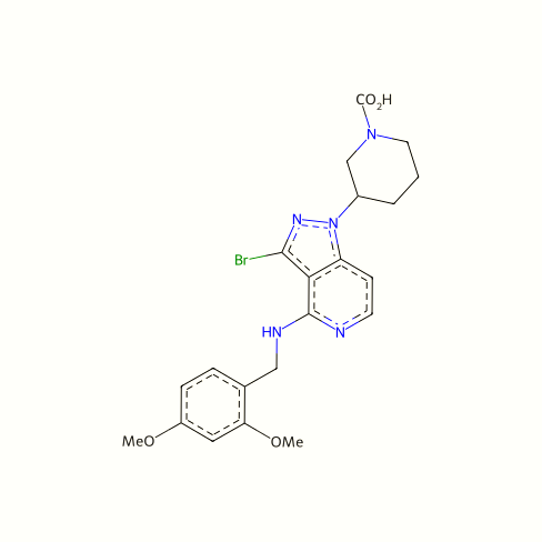 COc1ccc(CNc2nccc3c2c(Br)nn3C2CCCN(C(=O)O)C2)c(OC)c1